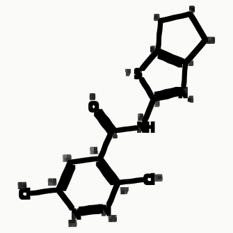 O=C(Nc1nc2c(s1)CCC2)c1cc(Cl)nnc1Cl